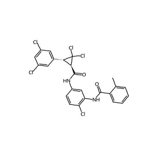 Cc1ccccc1C(=O)Nc1cc(NC(=O)[C@H]2[C@H](c3cc(Cl)cc(Cl)c3)C2(Cl)Cl)ccc1Cl